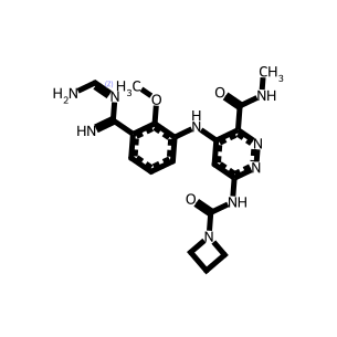 CNC(=O)c1nnc(NC(=O)N2CCC2)cc1Nc1cccc(C(=N)/N=C\N)c1OC